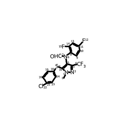 Cn1nc(C(F)(F)F)c(N(C=O)c2ccc(F)cc2F)c1Sc1ccc(Cl)cc1